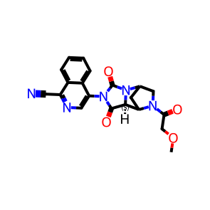 COCC(=O)N1CC2CC1[C@H]1C(=O)N(c3cnc(C#N)c4ccccc34)C(=O)N21